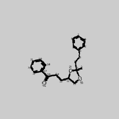 CC1(CCc2ccccc2)OCC(CCC(=O)c2ccccc2)O1